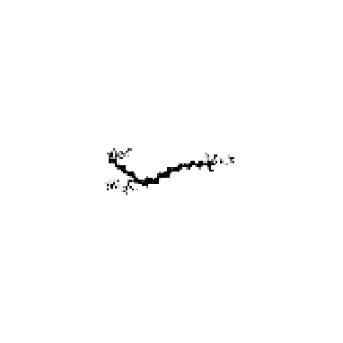 CCCCCCCCC=C(C)CCCCCCCCCCCCC(CCCCCCCCCCCCCCCC)C(=O)O